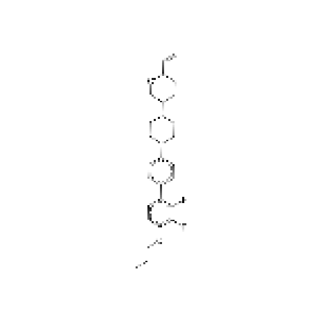 C=CC1CCC(C2CCC(c3ccc(-c4ccc(OCCC)c(F)c4F)cc3)CC2)CO1